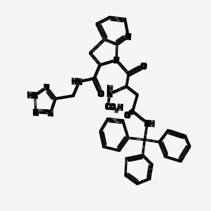 O=C(O)NC(CC(=O)NC(c1ccccc1)(c1ccccc1)c1ccccc1)C(=O)N1c2ncccc2CC1C(=O)NCc1nn[nH]n1